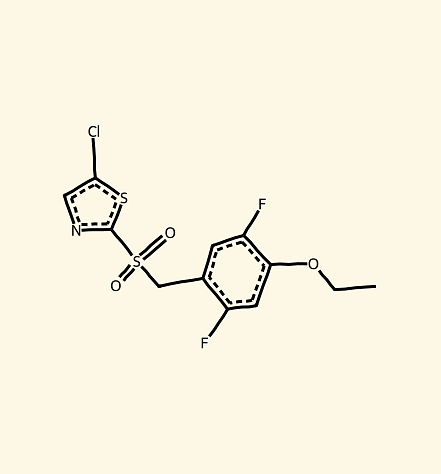 CCOc1cc(F)c(CS(=O)(=O)c2ncc(Cl)s2)cc1F